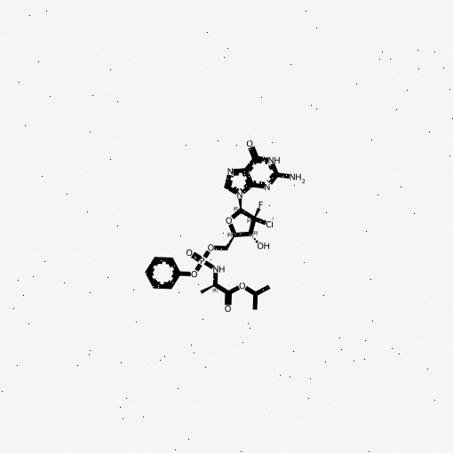 CC(C)OC(=O)[C@@H](C)NP(=O)(OC[C@H]1O[C@@H](n2cnc3c(=O)[nH]c(N)nc32)[C@](F)(Cl)[C@@H]1O)Oc1ccccc1